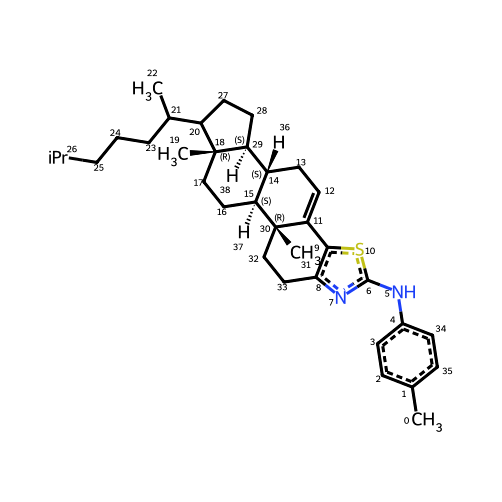 Cc1ccc(Nc2nc3c(s2)C2=CC[C@@H]4[C@H](CC[C@]5(C)C(C(C)CCCC(C)C)CC[C@@H]45)[C@@]2(C)CC3)cc1